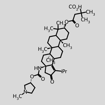 CC(C)C1=C2C3CCC4[C@@]5(C)CC[C@H](OC(=O)CC(C)(C)C(=O)O)C(C)(C)C5CC[C@@]4(C)[C@]3(C)CC[C@@]2(NC(=O)O[C@@H]2CCN(C)C2)CC1=O